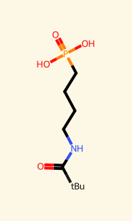 CC(C)(C)C(=O)NCCCCP(=O)(O)O